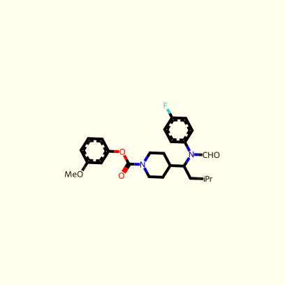 COc1cccc(OC(=O)N2CCC(C(CC(C)C)N(C=O)c3ccc(F)cc3)CC2)c1